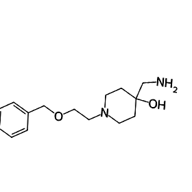 NCC1(O)CCN(CCOCc2ccccc2)CC1